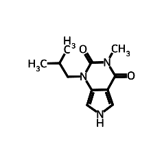 CC(C)Cn1c(=O)n(C)c(=O)c2c[nH]cc21